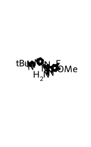 COc1cc2nc(N)n3nc([C@@H]4CCCN(c5cnn(C(C)(C)C)c5)C4)nc3c2cc1F